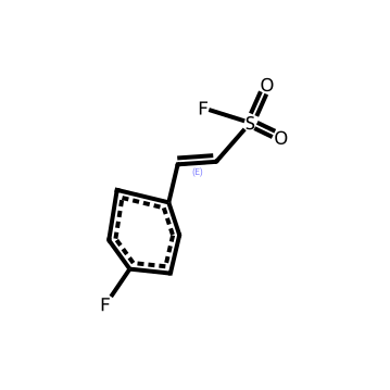 O=S(=O)(F)/C=C/c1ccc(F)cc1